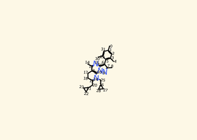 Cc1cc(C)c(-c2c(C)nn3c4c(c(C)nc23)CCC(CC2CC2)N4CC2CC2)c(C)c1